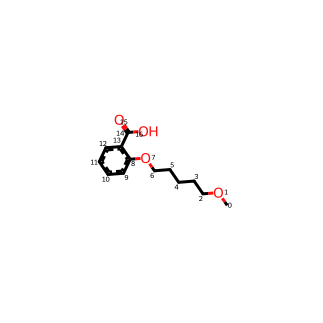 COCCCCCOc1ccccc1C(=O)O